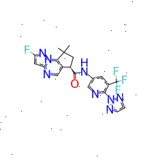 CC1(C)C[C@@H](C(=O)Nc2cnc(-n3nccn3)c(C(F)(F)F)c2)c2cnc3cc(F)nn3c21